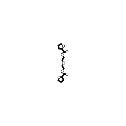 O=C(OCCOCCOC(=O)C1CCCO1)C1CCCO1